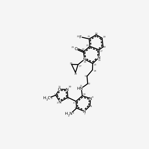 Cc1nc(-c2c(N)ncnc2NCCCc2nc3cccc(F)c3c(=O)n2C2CC2)no1